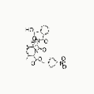 CC1=CS[C@@H]2C(NC(=O)c3ccccc3C(=O)O)C(=O)N2C1C(=O)OCc1ccc([N+](=O)[O-])cc1